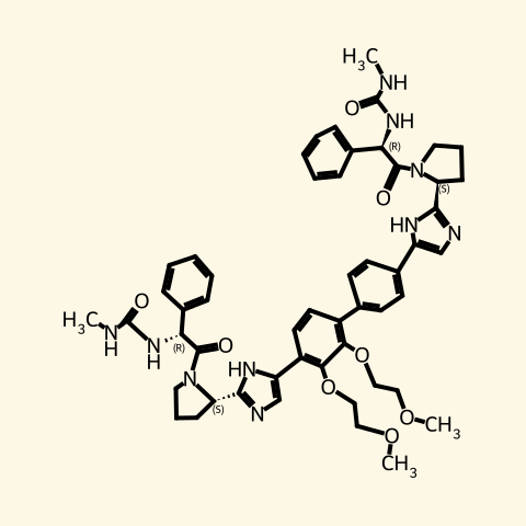 CNC(=O)N[C@@H](C(=O)N1CCC[C@H]1c1ncc(-c2ccc(-c3ccc(-c4cnc([C@@H]5CCCN5C(=O)[C@H](NC(=O)NC)c5ccccc5)[nH]4)c(OCCOC)c3OCCOC)cc2)[nH]1)c1ccccc1